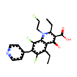 CCc1c(F)c(-c2ccncc2)c(F)c2c1c(=O)c(C(=O)O)c(CC)n2CCF